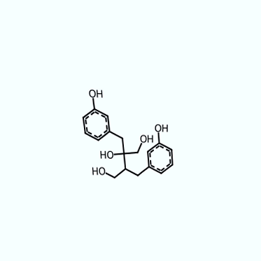 OCC(Cc1cccc(O)c1)C(O)(CO)Cc1cccc(O)c1